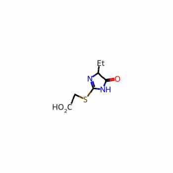 CCC1N=C(SCC(=O)O)NC1=O